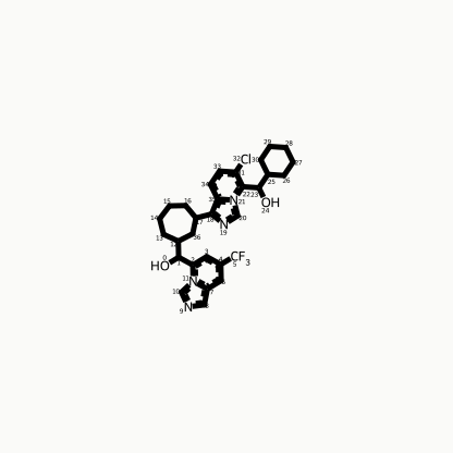 OC(c1cc(C(F)(F)F)cc2cncn12)C1CCCCC(c2ncn3c(C(O)C4CCCCC4)c(Cl)ccc23)C1